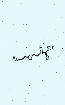 CCC(=O)NCCOCCC(C)=O